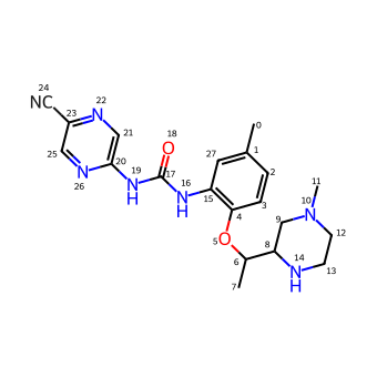 Cc1ccc(OC(C)C2CN(C)CCN2)c(NC(=O)Nc2cnc(C#N)cn2)c1